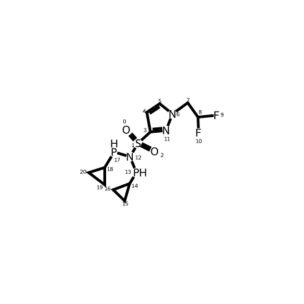 O=S(=O)(c1ccn(CC(F)F)n1)N(PC1CC1)PC1CC1